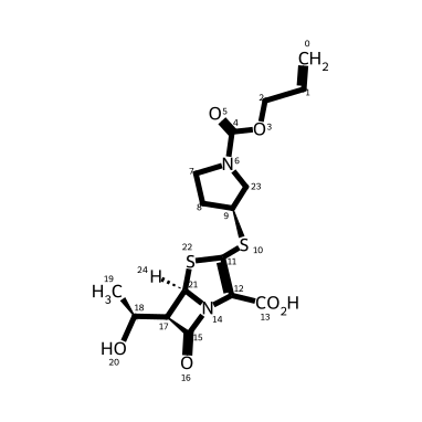 C=CCOC(=O)N1CC[C@H](SC2=C(C(=O)O)N3C(=O)[C@@H]([C@H](C)O)[C@H]3S2)C1